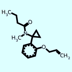 C=CCOc1ccccc1C1(N(C)C(=O)CCC)CC1